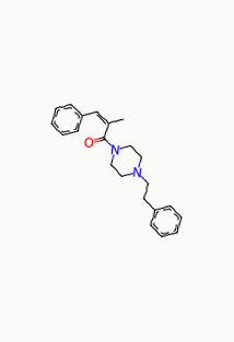 CC(=Cc1ccccc1)C(=O)N1CCN(CCc2ccccc2)CC1